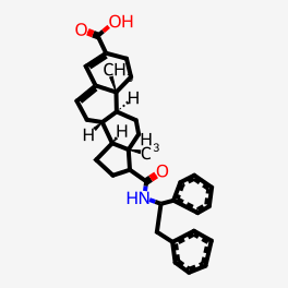 C[C@]12CCC(C(=O)O)=CC1=CC[C@@H]1[C@@H]2CC[C@]2(C)C(C(=O)NC(Cc3ccccc3)c3ccccc3)CC[C@@H]12